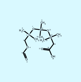 C[Si](C)(COC=O)O[Si](C)(C)O[Si](C)(C)CC(=O)O